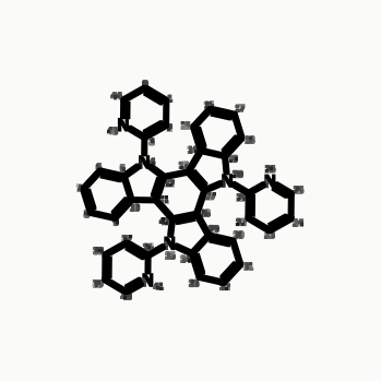 c1ccc(-n2c3ccccc3c3c2c2c4ccccc4n(-c4ccccn4)c2c2c4ccccc4n(-c4ccccn4)c32)nc1